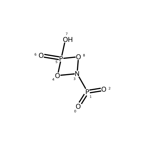 O=P(=O)N1OP(=O)(O)O1